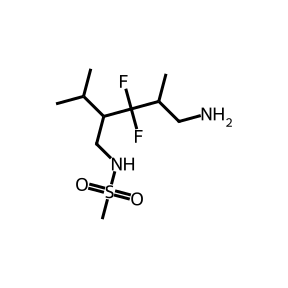 CC(C)C(CNS(C)(=O)=O)C(F)(F)C(C)CN